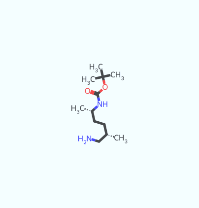 C[C@H](CN)CC[C@H](C)NC(=O)OC(C)(C)C